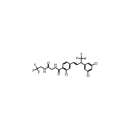 O=C(CNC(=O)c1ccc(/C=C/C(c2cc(Cl)cc(Cl)c2)C(F)(F)F)cc1Cl)NCC(F)(F)F